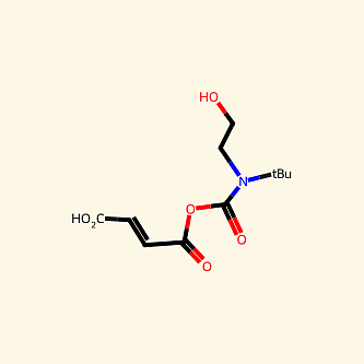 CC(C)(C)N(CCO)C(=O)OC(=O)/C=C/C(=O)O